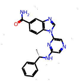 C[C@H](Nc1cncc(-n2cnc3cc(C(N)=O)ccc32)n1)c1ccccc1